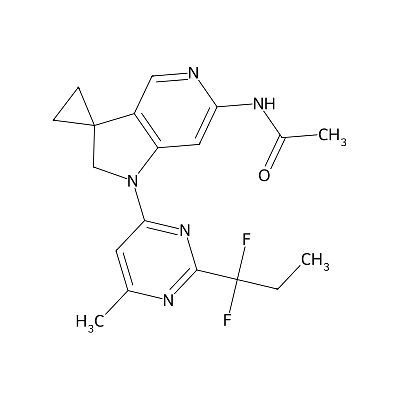 CCC(F)(F)c1nc(C)cc(N2CC3(CC3)c3cnc(NC(C)=O)cc32)n1